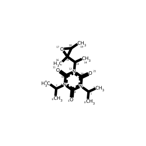 CC(C)n1c(=O)n(C(C)C)c(=O)n(C(C)C2(C)OC2C)c1=O